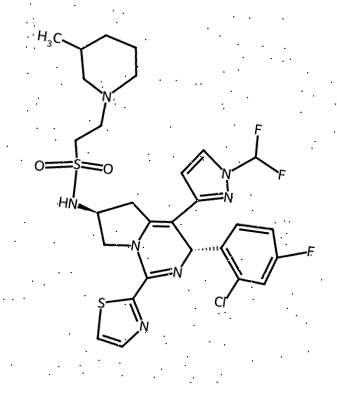 CC1CCCN(CCS(=O)(=O)N[C@H]2CC3=C(c4ccn(C(F)F)n4)[C@H](c4ccc(F)cc4Cl)N=C(c4nccs4)N3C2)C1